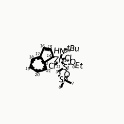 CCO[Si](C)(O[Si](C)(C)C)[Zr]([Cl])([Cl])([NH]C(C)(C)C)[CH]1C=Cc2ccccc21